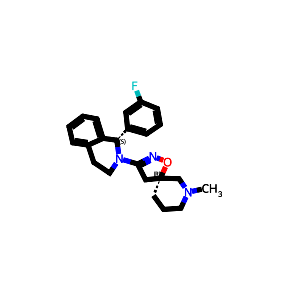 CN1CCC[C@@]2(CC(N3CCc4ccccc4[C@@H]3c3cccc(F)c3)=NO2)C1